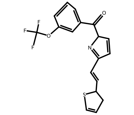 O=C(c1cccc(OC(F)(F)F)c1)C1C=CC(/C=C/C2CC=CS2)=N1